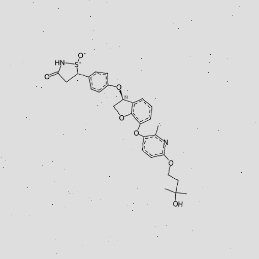 Cc1nc(OCCC(C)(C)O)ccc1Oc1cccc2c1OC[C@H]2Oc1ccc(C2CC(=O)N[S+]2[O-])cc1